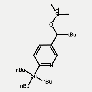 CCC[CH2][Sn]([CH2]CCC)([CH2]CCC)[c]1ccc(C(O[SiH](C)C)C(C)(C)C)cn1